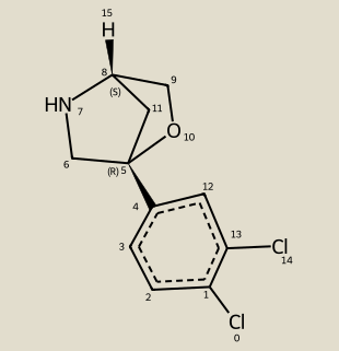 Clc1ccc([C@]23CN[C@H](CO2)C3)cc1Cl